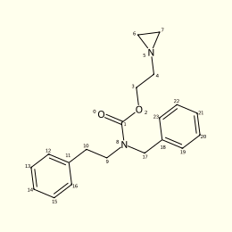 O=C(OCCN1CC1)N(CCc1ccccc1)Cc1ccccc1